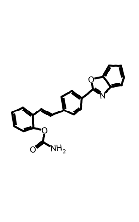 NC(=O)Oc1ccccc1C=Cc1ccc(-c2nc3ccccc3o2)cc1